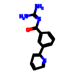 NC(N)=NC(=O)c1cccc(-c2ccccn2)c1